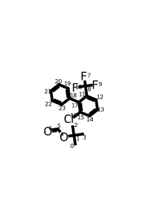 CC(C)(C)OC=O.FC(F)(F)c1cccc(Cl)c1-c1ccccc1